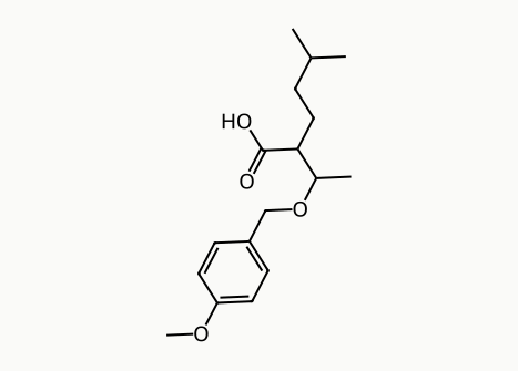 COc1ccc(COC(C)C(CCC(C)C)C(=O)O)cc1